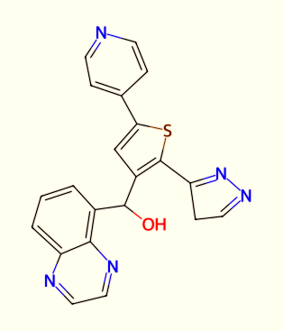 OC(c1cc(-c2ccncc2)sc1C1=NN=CC1)c1cccc2nccnc12